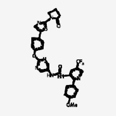 COc1ccc(-c2ncc(C(F)(F)F)cc2NC(=O)Nc2cnc(Oc3ccc(-c4cnc(N5CCCC5=O)s4)cc3)nc2)cc1